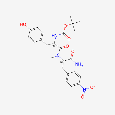 CN(C(=O)[C@H](Cc1ccc(O)cc1)NC(=O)OC(C)(C)C)[C@@H](Cc1ccc([N+](=O)[O-])cc1)C(N)=O